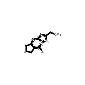 COCc1nc2nc3c(c([S])n2n1)CCC3